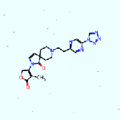 CC1=C(N2C=CC3(CCN(CCc4cnc(-n5cnnn5)cn4)CC3)C2=O)COC1=O